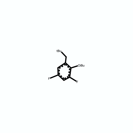 CC(C)COc1c(F)cc(F)cc1CC(C)(C)C